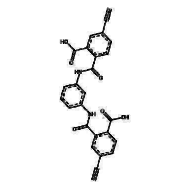 C#Cc1ccc(C(=O)Nc2cccc(NC(=O)c3cc(C#C)ccc3C(=O)O)c2)c(C(=O)O)c1